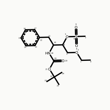 CCOCC(OS(C)(=O)=O)C(Cc1ccccc1)NC(=O)OC(C)(C)C